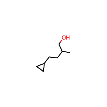 CC([CH]O)CCC1CC1